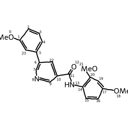 COc1cccc(-c2cncc(C(=O)Nc3ccc(OC)cc3OC)c2)c1